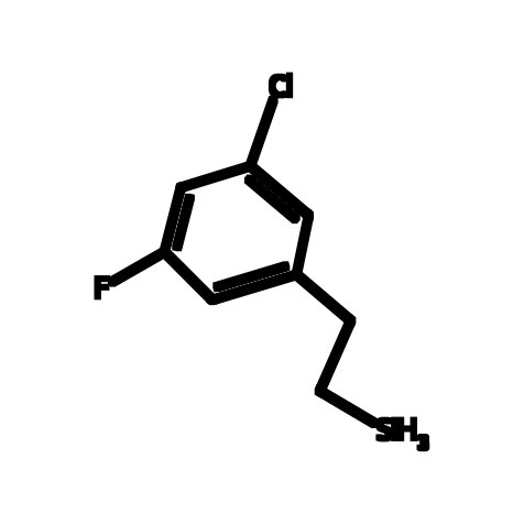 Fc1cc(Cl)cc(CC[SiH3])c1